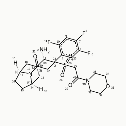 N[C@H](Cc1cc(F)c(F)cc1F)[C@@H]1C[C@H]2CC[C@@H](C1)N2C(=O)CCS(=O)(=O)CC(=O)N1CCOCC1